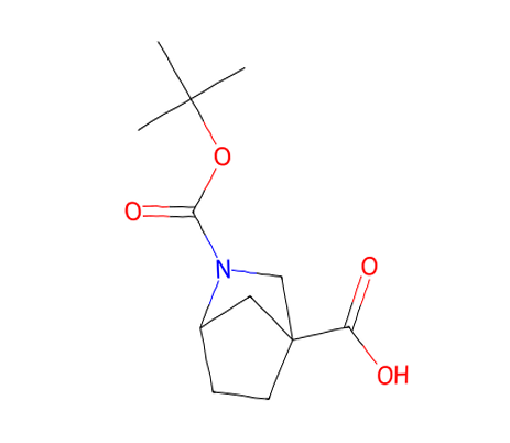 CC(C)(C)OC(=O)N1CC2(C(=O)O)CCC1C2